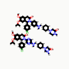 COc1cc2c(cc1OC(C)C)C(c1ccc(Cl)cc1)N(c1ccc(N(C)C[C@H]3CC[C@H](N4CCN(C)C(=O)C4)CC3)cc1)C(=O)C2.COc1cc2c(cc1OC(C)C)[C@H](c1ccc(Cl)cc1)N(c1cnc(N(C)C[C@H]3CC[C@H](N4CC(=O)N(C)C4)CC3)cn1)C(=O)C2